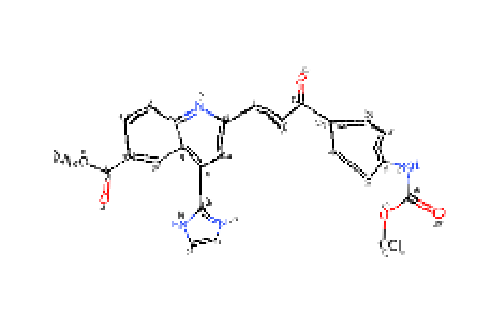 COC(=O)c1ccc2nc(C=CC(=O)c3ccc(NC(=O)OC(Cl)(Cl)Cl)cc3)cc(-c3ncc[nH]3)c2c1